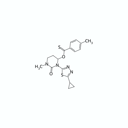 Cc1ccc(C(=S)OC2CCN(C)C(=O)N2c2nnc(C3CC3)s2)cc1